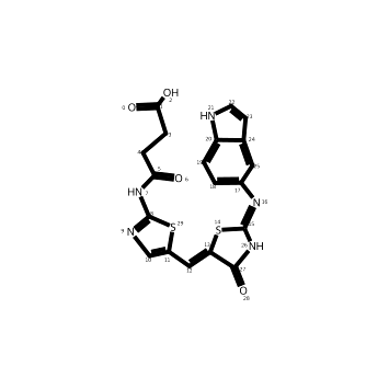 O=C(O)CCC(=O)Nc1ncc(C=C2SC(=Nc3ccc4[nH]ccc4c3)NC2=O)s1